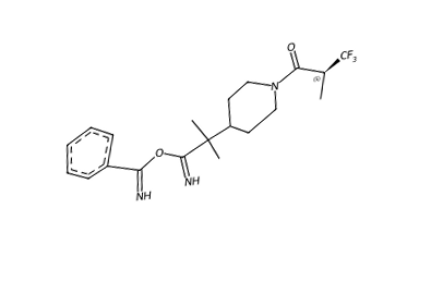 C[C@@H](C(=O)N1CCC(C(C)(C)C(=N)OC(=N)c2ccccc2)CC1)C(F)(F)F